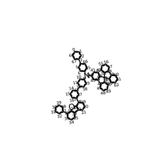 c1ccc(-c2ccc(N(c3ccc(-c4cccc(-c5cccc6c5oc5c(-c7ccccc7)cccc56)c4)cc3)c3ccc4c(c3)-c3ccccc3C43c4ccccc4-c4ccccc43)cc2)cc1